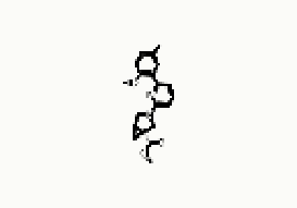 COC(=O)[C@]12CC1CN(c1cccc(-c3cc(C)ccc3O)n1)C2